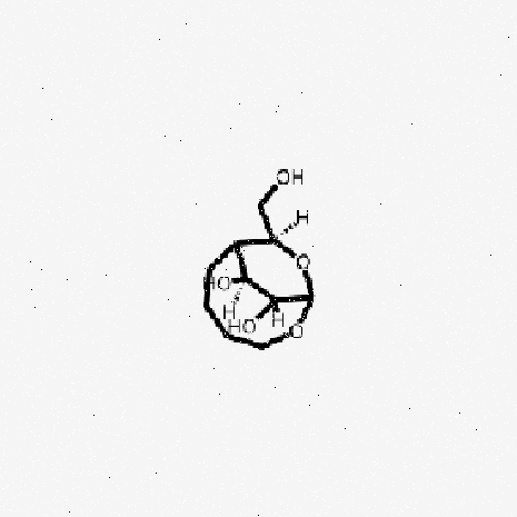 OC[C@H]1OC2OCCCCC1[C@H](O)[C@H]2O